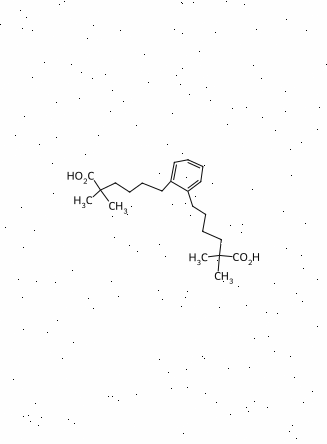 CC(C)(CCCCc1ccccc1CCCCC(C)(C)C(=O)O)C(=O)O